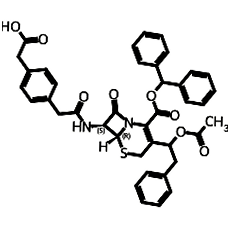 CC(=O)OC(Cc1ccccc1)C1=C(C(=O)OC(c2ccccc2)c2ccccc2)N2C(=O)[C@H](NC(=O)Cc3ccc(CC(=O)O)cc3)[C@H]2SC1